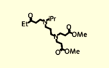 CCC(=O)CCN(CCCN(CCC(=O)OC)CCC(=O)OC)C(C)C